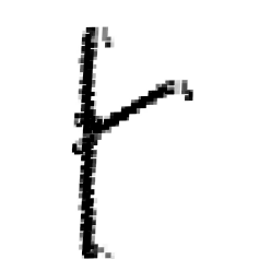 CCCCCCCCCCCCCCCCCCCCCC(=O)OC[C@H](COC(=O)CCCCCCCCCCCCCCCCC)OC(=O)CCCCCCCCCCCCCCC